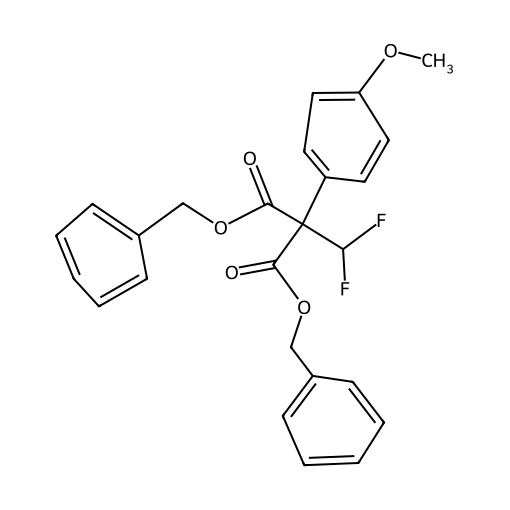 COc1ccc(C(C(=O)OCc2ccccc2)(C(=O)OCc2ccccc2)C(F)F)cc1